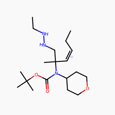 CC/C=C\C(C)(CNNCC)N(C(=O)OC(C)(C)C)C1CCOCC1